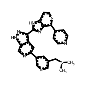 CN(C)Cc1cncc(-c2cc3c(-c4nc5c(-c6ccncc6)nccc5[nH]4)n[nH]c3cn2)c1